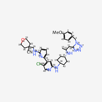 COc1ccc(Cn2nnnc2CC(C)N[C@H]2CC[C@H](Nc3cc(-c4cccc(NCC5(C#N)CCOCC5)n4)c(Cl)cn3)CC2)cc1